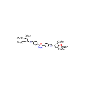 CCCCCCCCCOc1c(OC)cc(/C=C/c2ccc(-c3nnc(-c4ccc(/C=C/c5cc(OC)c(OC)c(OC)c5)cc4)o3)cc2)cc1OC